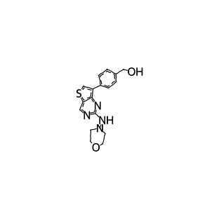 OCc1ccc(-c2csc3cnc(NN4CCOCC4)nc23)cc1